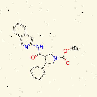 CC(C)(C)OC(=O)N1CC(C(=O)Nc2cc3ccccc3cn2)C(c2ccccc2)C1